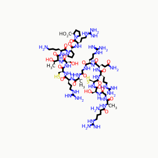 C[C@H](NC(=O)CNC(=O)[C@H](CCCNC(=N)N)NC(=O)[C@H](CCC(N)=O)NC(=O)[C@H](CCCNC(=N)N)NC(=O)[C@H](CS)NC(=O)[C@H](CO)NC(=O)CNC(=O)[C@H](C)NC(=O)[C@@H](N)CCCNC(=N)N)C(=O)N[C@@H](CCCNC(=N)N)C(=O)N[C@@H](CS)C(=O)N[C@@H](CO)C(=O)N[C@H](C(=O)N[C@@H](CCCCN)C(=O)N1CCC[C@H]1C(=O)N[C@@H](CCCNC(=N)N)C(=O)N1CCC[C@H]1C(=O)O)[C@@H](C)O